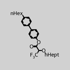 CCCCCCCOC(C(=O)Oc1ccc(-c2ccc(CCCCCC)cc2)cc1)C(F)(F)F